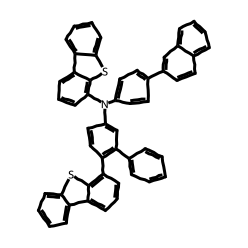 c1ccc(-c2cc(N(c3ccc(-c4ccc5ccccc5c4)cc3)c3cccc4c3sc3ccccc34)ccc2-c2cccc3c2sc2ccccc23)cc1